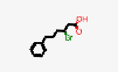 O=C(O)CC(Br)CCCc1ccccc1